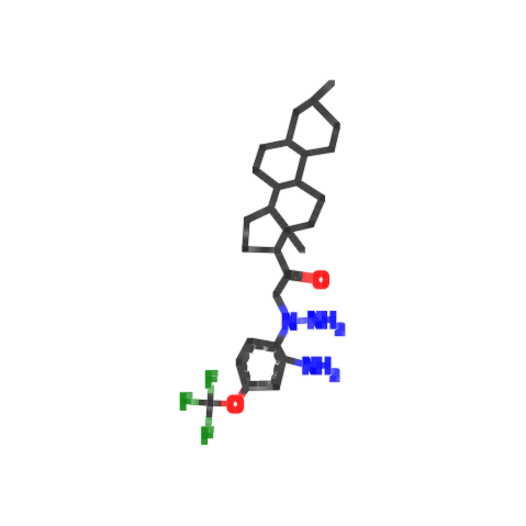 CC1CCC2C(CCC3C2CCC2(C)C(C(=O)CN(N)c4ccc(OC(F)(F)F)cc4N)CCC32)C1